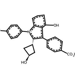 O=C(O)c1ccc(-c2c3c(O)cccc3n(-c3ccc(F)cc3)c2[C@H]2C[C@H](O)C2)cc1